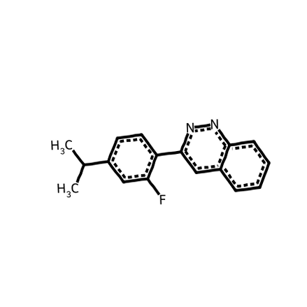 CC(C)c1ccc(-c2cc3ccccc3nn2)c(F)c1